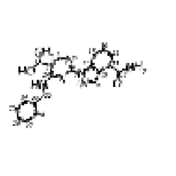 CC(O)c1cnc(-n2ncc3c(C(N)=O)cccc32)nc1NCc1ccccc1